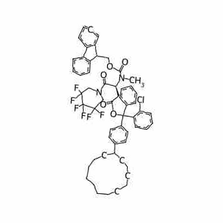 CN(C(=O)OCC1c2ccccc2-c2ccccc21)[C@@H](CC(=O)OC(c1ccccc1)(c1ccc(C2CCCCCCCCCCCC2)cc1)c1ccccc1Cl)C(=O)N1CC(F)(F)C(F)(F)C(F)(F)C1